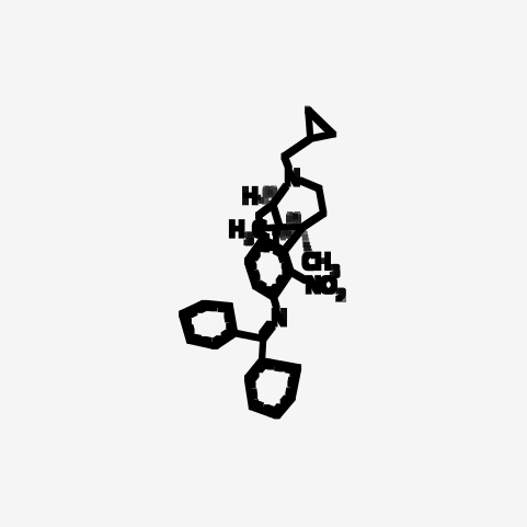 C[C@@H]1[C@H]2Cc3ccc(N=C(c4ccccc4)c4ccccc4)c([N+](=O)[O-])c3[C@]1(C)CCN2CC1CC1